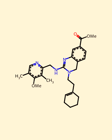 COC(=O)c1ccc2c(c1)N=C(NCc1ncc(C)c(OC)c1C)N(CCC1=CCCCC1)C2